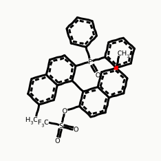 Cc1ccc2ccc(OS(=O)(=O)C(F)(F)F)c(-c3c(P(=O)(c4ccccc4)c4ccccc4)ccc4ccc(C)cc34)c2c1